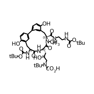 CN1C(=O)[C@H](C[C@@H](O)CN(C(=O)O)C(C)(C)C)NC(=O)[C@@H](NC(=O)OC(C)(C)C)Cc2cc(ccc2O)-c2ccc(O)c(c2)C[C@H]1C(=O)NCCNC(=O)OC(C)(C)C